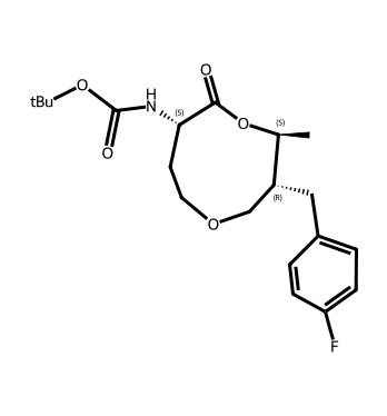 C[C@@H]1OC(=O)[C@@H](NC(=O)OC(C)(C)C)CCOC[C@H]1Cc1ccc(F)cc1